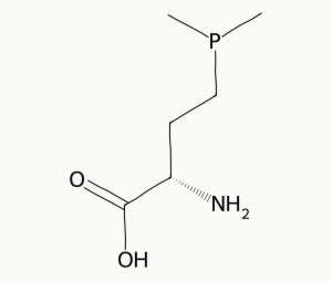 CP(C)CC[C@H](N)C(=O)O